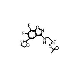 CC(=O)S[C@@H](C)CNc1noc2c(F)c(F)c(C3OCCO3)cc12